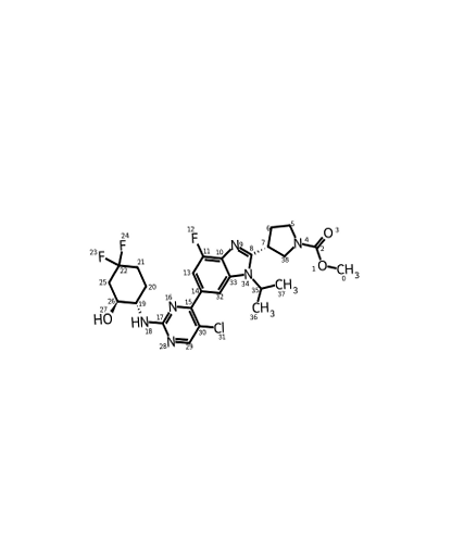 COC(=O)N1CC[C@@H](c2nc3c(F)cc(-c4nc(N[C@H]5CCC(F)(F)C[C@@H]5O)ncc4Cl)cc3n2C(C)C)C1